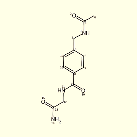 CC(=O)NCc1ccc(C(=O)NCC(N)=O)cc1